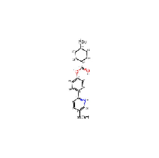 CCCCCCCCc1ccc(-c2ccc(OC(=O)[C@H]3CC[C@H](CCCC)CC3)cc2)nc1